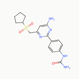 NC(=O)Nc1ccc(-c2nc(N)cc(CS(=O)(=O)C3CCCC3)n2)cc1